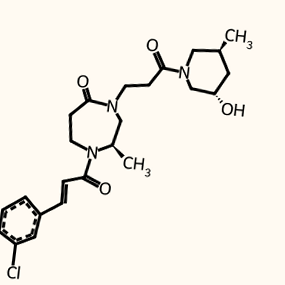 C[C@H]1C[C@H](O)CN(C(=O)CCN2C[C@@H](C)N(C(=O)C=Cc3cccc(Cl)c3)CCC2=O)C1